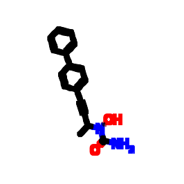 CC(C#Cc1ccc(-c2ccccc2)cc1)N(O)C(N)=O